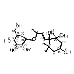 CC(/C=C/C1(O)C(C)(C)C[C@H](O)C[C@]1(C)O)O[C@@H]1O[C@H](CO)[C@@H](O)[C@H](O)[C@H]1O